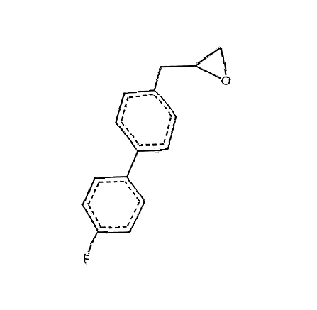 Fc1ccc(-c2ccc(CC3CO3)cc2)cc1